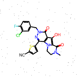 CN1CCn2c(c(O)c3c(=O)n(Cc4ccc(F)c(Cl)c4)nc(-c4ccc(C#N)s4)c32)C1=O